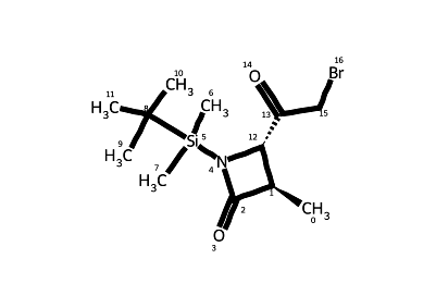 C[C@H]1C(=O)N([Si](C)(C)C(C)(C)C)[C@@H]1C(=O)CBr